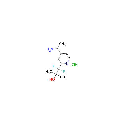 CC(N)c1ccnc(C(F)(F)C(C)(C)O)c1.Cl